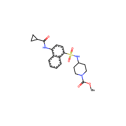 CC(C)(C)OC(=O)N1CCC(NS(=O)(=O)c2ccc(NC(=O)C3CC3)c3ccccc23)CC1